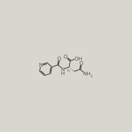 NC(=O)C[C@H](NC(=O)c1cccnc1)C(=O)O